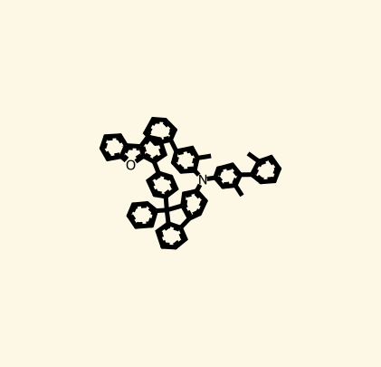 Cc1ccccc1-c1ccc(N(c2ccc3c(c2)C(c2ccccc2)(c2ccc(-c4cccc5c4oc4ccccc45)cc2)c2ccccc2-3)c2ccc(-c3ccccc3)cc2C)cc1C